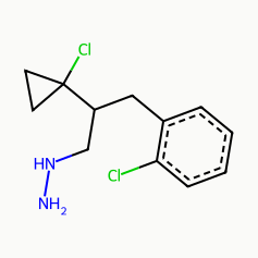 NNCC(Cc1ccccc1Cl)C1(Cl)CC1